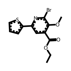 CCOC(=O)c1cc(-c2cccs2)nc(Br)c1OC